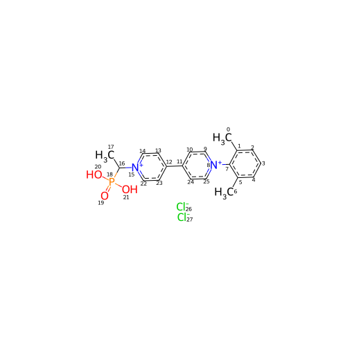 Cc1cccc(C)c1-[n+]1ccc(-c2cc[n+](C(C)P(=O)(O)O)cc2)cc1.[Cl-].[Cl-]